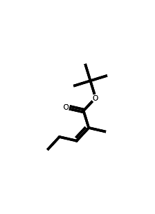 CCC=C(C)C(=O)OC(C)(C)C